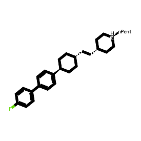 CCCCC[Si@H]1CC[C@H](CC[C@H]2CC[C@H](c3ccc(-c4ccc(F)cc4)cc3)CC2)CC1